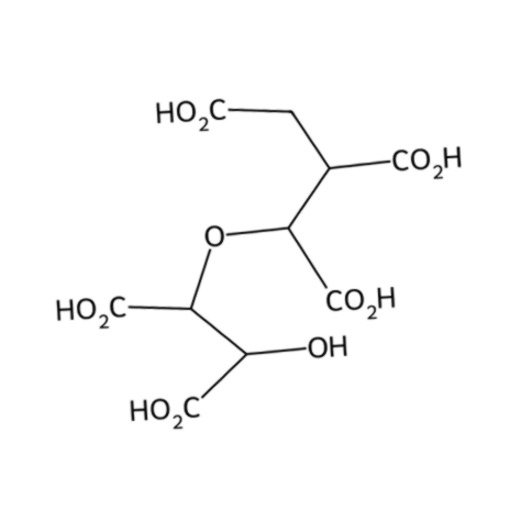 O=C(O)CC(C(=O)O)C(OC(C(=O)O)C(O)C(=O)O)C(=O)O